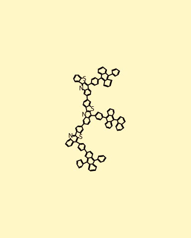 c1ccc(-c2c3ccccc3c(-c3ccc(-c4c5ccc(-c6ccc7c(c6)sc6c(-c8ccc(-c9c%10ccccc%10c(-c%10cccc%11ccccc%10%11)c%10ccccc9%10)cc8)c8ccc(-c9ccc%10c(c9)sc9c(-c%11ccc(-c%12ccc%13c(-c%14ccccc%14)c%14ccccc%14c(-c%14ccccc%14)c%13c%12)cc%11)c%11ccccc%11nc9%10)cc8nc67)cc5nc5c4sc4ccccc45)cc3)c3ccccc23)cc1